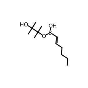 CCCCC=CB(O)OC(C)(C)C(C)(C)O